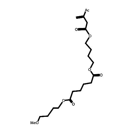 C=C(CC(=O)OCCCCOC(=O)CCCCC(=O)OCCCCOC)C(C)=O